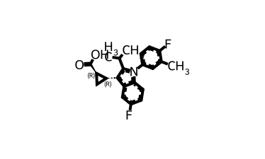 Cc1cc(-n2c(C(C)C)c([C@@H]3C[C@H]3C(=O)O)c3cc(F)ccc32)ccc1F